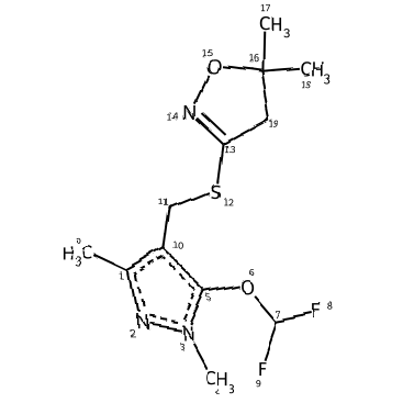 Cc1nn(C)c(OC(F)F)c1CSC1=NOC(C)(C)C1